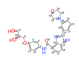 O=C(Nc1ccc(OC[C@@H](O)CO)cc1)c1cccc2[nH]c(-c3cccc(N4CCOCC4)c3)nc12